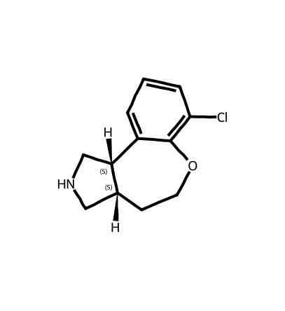 Clc1cccc2c1OCC[C@@H]1CNC[C@H]21